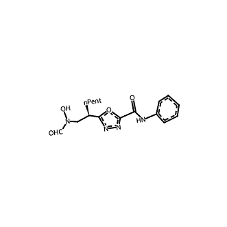 CCCCC[C@H](CN(O)C=O)c1nnc(C(=O)Nc2ccccc2)o1